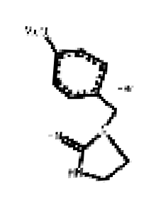 Br.COc1ccc(CN2CCNC2=N)cc1